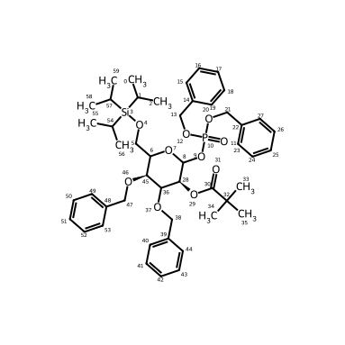 CC(C)[Si](OCC1OC(OP(=O)(OCc2ccccc2)OCc2ccccc2)[C@@H](OC(=O)C(C)(C)C)C(OCc2ccccc2)[C@H]1OCc1ccccc1)(C(C)C)C(C)C